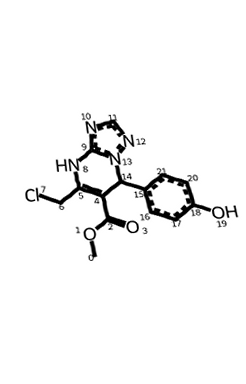 COC(=O)C1=C(CCl)Nc2ncnn2C1c1ccc(O)cc1